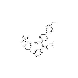 C=C(CC(C)C)N(c1cc(Cc2ccc(C(F)(F)F)nc2)ccn1)C(O)c1ccc(-c2ccc(CC)cc2)cn1